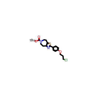 CC(C)(C)OC(=O)N1CCc2nc(-c3ccc(OCCCCl)cc3)sc2CC1